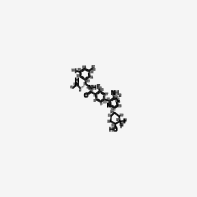 CNC[C@@H](NC(=O)c1ccc(-c2nc([C@H]3CC[C@H](O)C(F)(F)C3)cnc2N)cc1F)c1cc(F)cc(I)c1